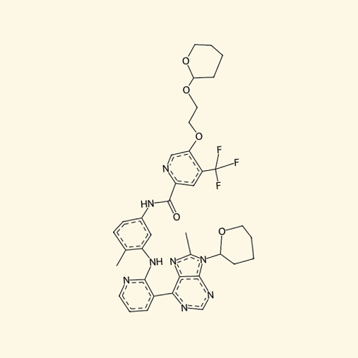 Cc1ccc(NC(=O)c2cc(C(F)(F)F)c(OCCOC3CCCCO3)cn2)cc1Nc1ncccc1-c1ncnc2c1nc(C)n2C1CCCCO1